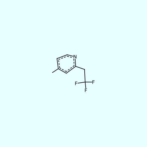 Cc1ccnc(CC(F)(F)F)c1